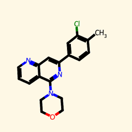 Cc1ccc(-c2cc3ncccc3c(N3CCOCC3)n2)cc1Cl